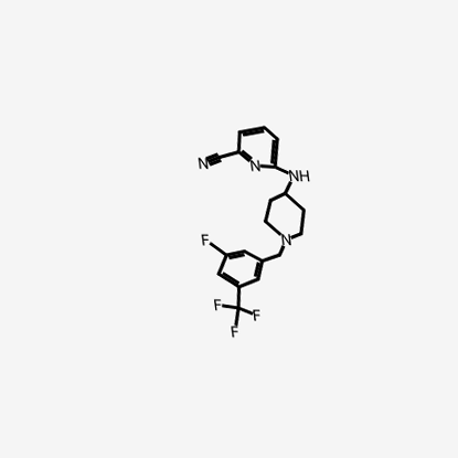 N#Cc1cccc(NC2CCN(Cc3cc(F)cc(C(F)(F)F)c3)CC2)n1